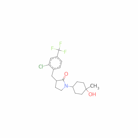 CC1(O)CCC(N2CCC(Cc3ccc(C(F)(F)F)cc3Cl)C2=O)CC1